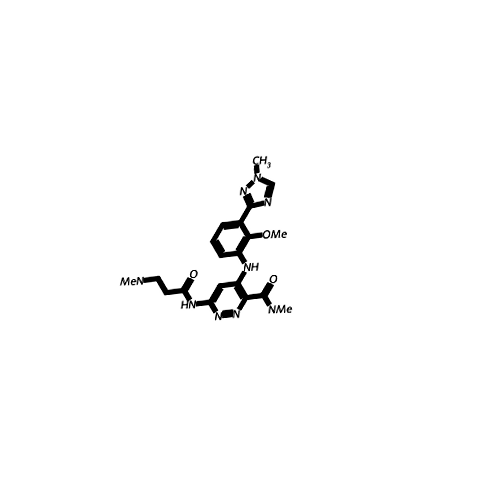 CNCCC(=O)Nc1cc(Nc2cccc(-c3ncn(C)n3)c2OC)c(C(=O)NC)nn1